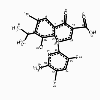 CC(C)c1c(F)cc2c(=O)c(C(=O)O)cn(-c3nc(N)c(F)cc3F)c2c1Cl